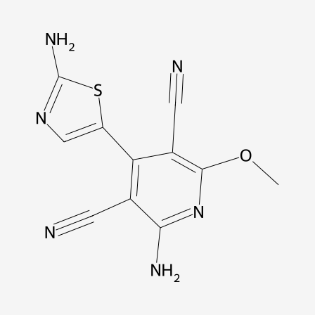 COc1nc(N)c(C#N)c(-c2cnc(N)s2)c1C#N